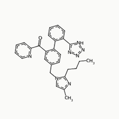 CCCCc1nc(C)cn1Cc1ccc(-c2ccccc2-c2nnn[nH]2)c(C(=O)c2ccccn2)c1